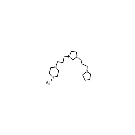 CN1CCN(CCCN2CCN(CCCN3CCCC3)C2)CC1